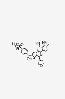 CS(=O)(=O)c1ccc(C(O)c2cc3nc(-c4cccc(N)c4C=N)nc(N4CCOCC4)c3s2)cc1